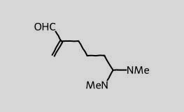 C=C(C=O)CCCC(NC)NC